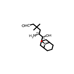 CC(C)(C[C]=O)C[C@H](N)[C@@H](O)CN1C2CCCC1CCC2